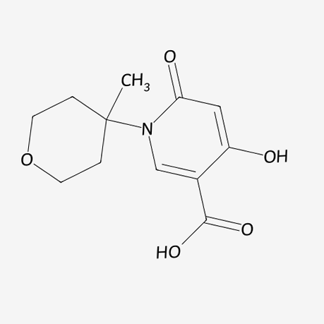 CC1(n2cc(C(=O)O)c(O)cc2=O)CCOCC1